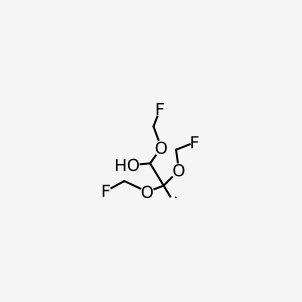 [CH2]C(OCF)(OCF)C(O)OCF